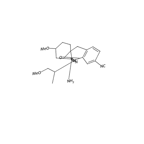 [C-]#[N+]c1ccc2c(c1)C1(N=C(N)N(C(C)COC)C1=O)C1(CCC(OC)CC1)C2